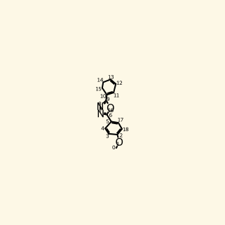 COc1ccc(-c2nnc(C3=CC=CCC3)o2)cc1